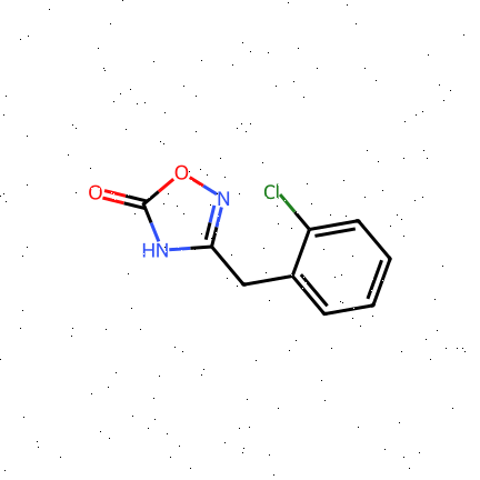 O=c1[nH]c(Cc2ccccc2Cl)no1